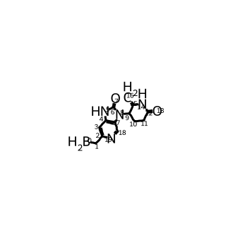 BCc1cc2[nH]c(=O)n(C3CCC(=O)NC3=C)c2cn1